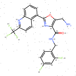 NCc1oc(-c2cccc3nc(C(F)(F)F)ccc23)nc1C(=O)NCc1ccc(F)cc1F